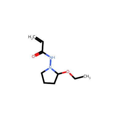 C=CC(=O)NN1CCCC1OCC